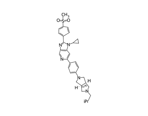 CC(C)CN1C[C@@H]2CN(c3ccc(-c4cc5c(cn4)nc(-c4ccc(S(C)(=O)=O)cc4)n5C4CC4)cc3)C[C@@H]2C1